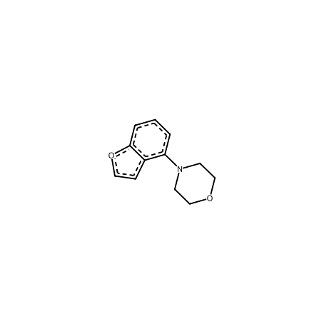 c1cc(N2CCOCC2)c2ccoc2c1